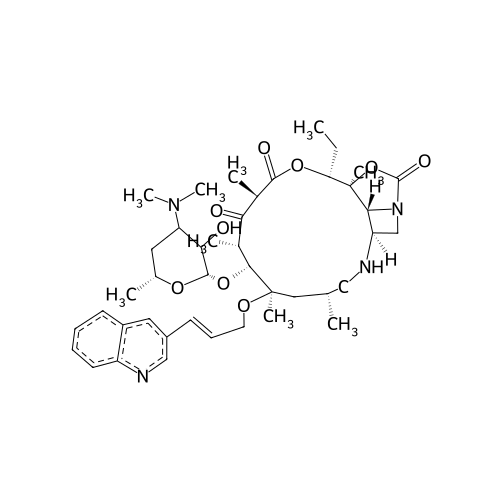 CC[C@H]1OC(=O)[C@H](C)C(=O)[C@@H](C)[C@@H](O[C@@H]2O[C@H](C)CC(N(C)C)C2O)[C@](C)(OC/C=C/c2cnc3ccccc3c2)C[C@@H](C)CN[C@@H]2CN3C(=O)O[C@@]1(C)[C@@H]23